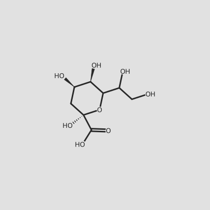 O=C(O)[C@@]1(O)C[C@@H](O)[C@@H](O)C(C(O)CO)O1